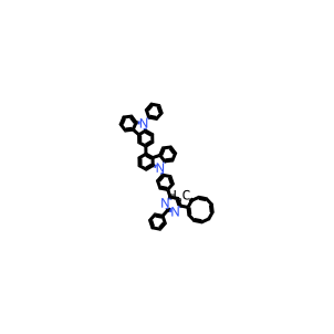 C=C1/C=C\C=C/C/C=C\C=C/1c1cc(-c2ccc(-n3c4ccccc4c4c(-c5ccc6c(c5)c5ccccc5n6-c5ccccc5)cccc43)cc2)nc(-c2ccccc2)n1